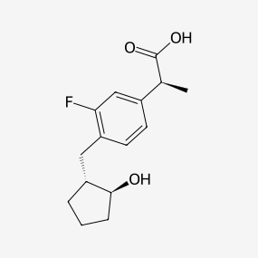 C[C@H](C(=O)O)c1ccc(C[C@H]2CCC[C@@H]2O)c(F)c1